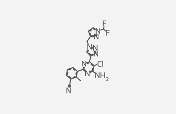 Cc1c(C#N)cccc1-c1nc(N)c(Cl)c(-c2cn(Cc3ccn(C(F)F)n3)nn2)n1